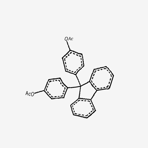 CC(=O)Oc1ccc(C2(c3ccc(OC(C)=O)cc3)c3ccccc3-c3ccccc32)cc1